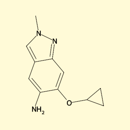 Cn1cc2cc(N)c(OC3CC3)cc2n1